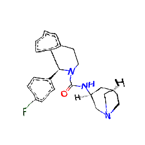 O=C(N[C@H]1C[C@H]2C[N@@](C1)C2)N1CCc2ccccc2[C@@H]1c1ccc(F)cc1